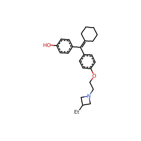 CCC1CN(CCOc2ccc(C(=C3CCCCC3)c3ccc(O)cc3)cc2)C1